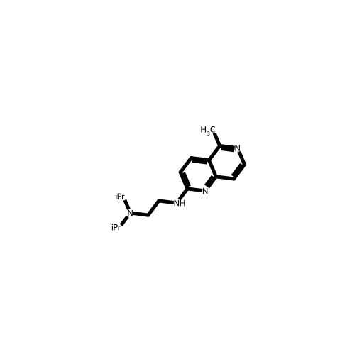 Cc1nccc2nc(NCCN(C(C)C)C(C)C)ccc12